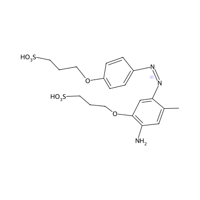 Cc1cc(N)c(OCCCS(=O)(=O)O)cc1/N=N\c1ccc(OCCCS(=O)(=O)O)cc1